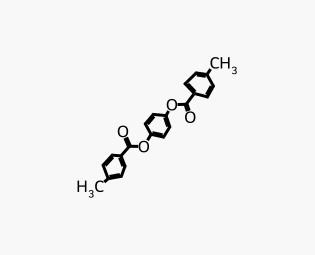 Cc1ccc(C(=O)Oc2ccc(OC(=O)c3ccc(C)cc3)cc2)cc1